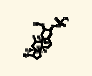 CC1CC[C@H]2[C@@H]3CCC4=CC(=NNS(C)(=O)=O)C(=NO)C[C@]4(C)[C@@H]3C(F)C[C@]12C